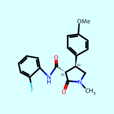 COc1ccc([C@H]2CN(C)C(=O)[C@@H]2C(=O)Nc2ccccc2F)cc1